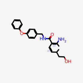 C/C(N)=C(\C=C/C(C)CCO)C(=O)NCc1ccc(Oc2ccccc2)cc1